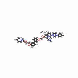 COC(CCN1CCN(c2ccc(C)cc2)CC1)C(CCOCCOc1ccc(C)c(-c2cc(OCCOCCN3CCC(C)CC3)ccc2C)c1)N1CCN(C)CC1